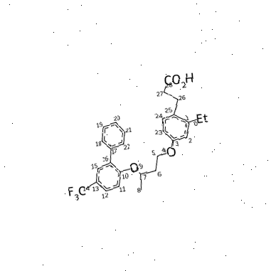 CCc1cc(OCCC(C)Oc2ccc(C(F)(F)F)cc2-c2ccccc2)ccc1CCC(=O)O